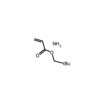 C=CC(=O)OCC(C)(C)C.N